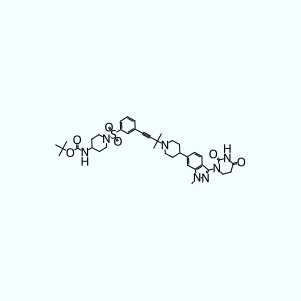 Cn1nc(N2CCC(=O)NC2=O)c2ccc(C3CCN(C(C)(C)C#Cc4cccc(S(=O)(=O)N5CCC(NC(=O)OC(C)(C)C)CC5)c4)CC3)cc21